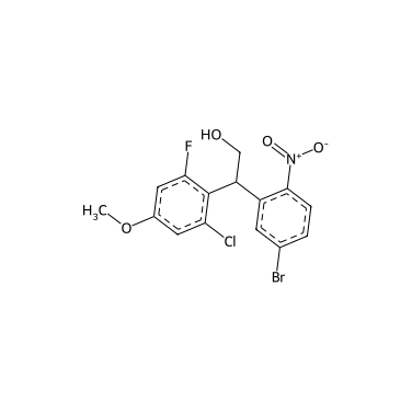 COc1cc(F)c(C(CO)c2cc(Br)ccc2[N+](=O)[O-])c(Cl)c1